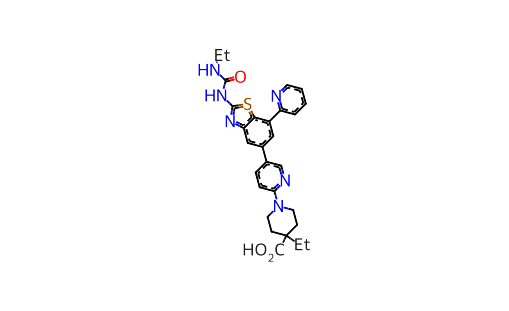 CCNC(=O)Nc1nc2cc(-c3ccc(N4CCC(CC)(C(=O)O)CC4)nc3)cc(-c3ccccn3)c2s1